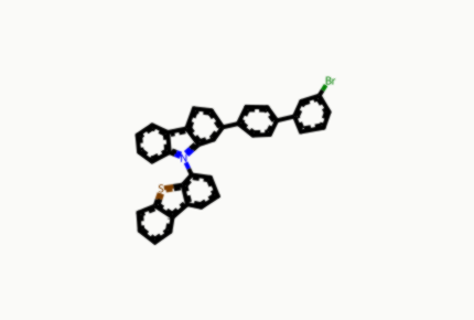 Brc1cccc(-c2ccc(-c3ccc4c5ccccc5n(-c5cccc6c5sc5ccccc56)c4c3)cc2)c1